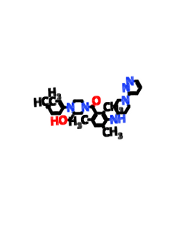 C#C/C=C\C(=C/C)N1CCN(C(=O)c2c(C)cc(C)c(NC3CCN(c4cccnn4)CC3)c2C)C[C@H]1CO